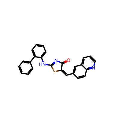 O=C1N=C(Nc2ccccc2-c2ccccc2)SC1=Cc1ccc2ncccc2c1